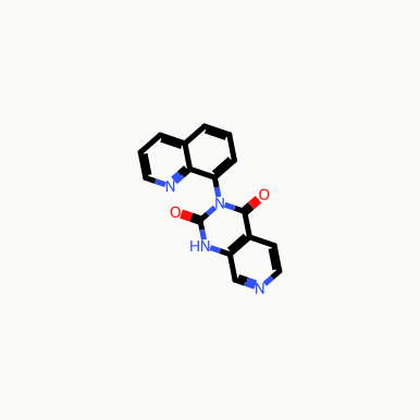 O=c1[nH]c2cnccc2c(=O)n1-c1cccc2cccnc12